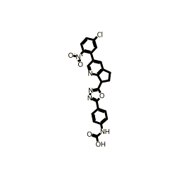 O=C(O)Nc1ccc(-c2nnc(C3CCc4cc(-c5cc(Cl)ccc5[N+](=O)[O-])cnc43)o2)cc1